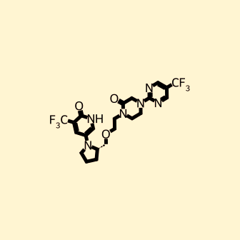 O=C1CN(c2ncc(C(F)(F)F)cn2)CCN1CCOC[C@@H]1CCCN1c1c[nH]c(=O)c(C(F)(F)F)c1